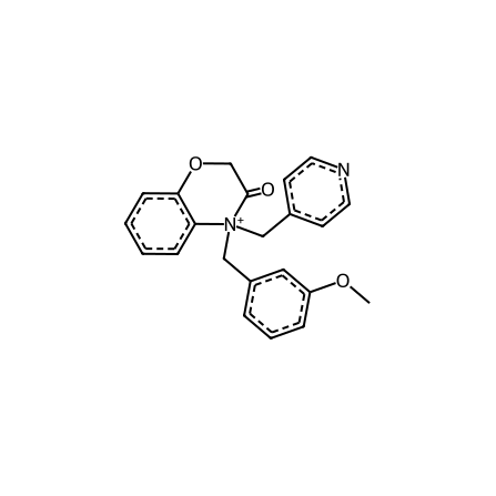 COc1cccc(C[N+]2(Cc3ccncc3)C(=O)COc3ccccc32)c1